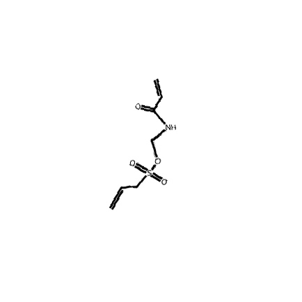 C=CCS(=O)(=O)OCNC(=O)C=C